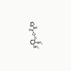 Nc1cccc(OC2CC(C(=O)Nc3nccs3)C2)c1N